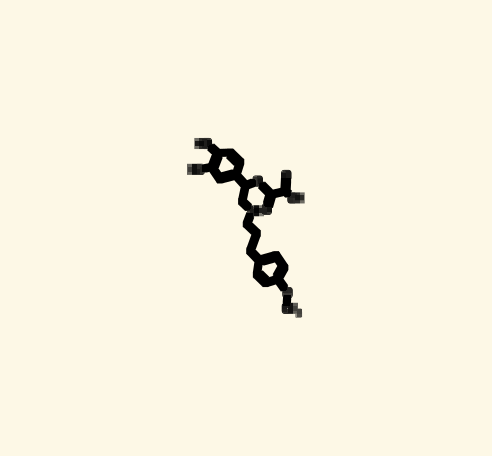 COc1ccc(CCCNCC(OC(=O)C(=O)O)c2ccc(O)c(O)c2)cc1